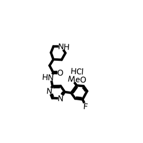 COc1ccc(F)cc1-c1cc(NC(=O)CC2CCNCC2)ncn1.Cl